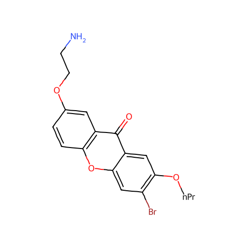 CCCOc1cc2c(=O)c3cc(OCCN)ccc3oc2cc1Br